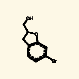 OCC1Cc2ccc(Br)cc2O1